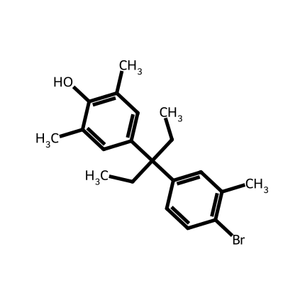 CCC(CC)(c1ccc(Br)c(C)c1)c1cc(C)c(O)c(C)c1